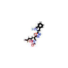 CCCCC[C@H](CN(O)C=O)c1nnc([C@@H]2Cc3ccccc3CN2)o1